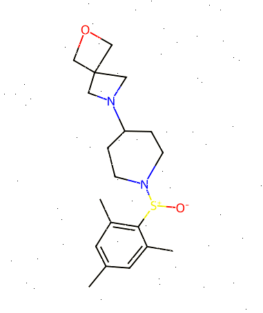 Cc1cc(C)c([S+]([O-])N2CCC(N3CC4(COC4)C3)CC2)c(C)c1